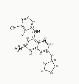 Cc1c(Cl)cccc1Nc1nc(N)nc2cc(CN3CCCC3)cnc12